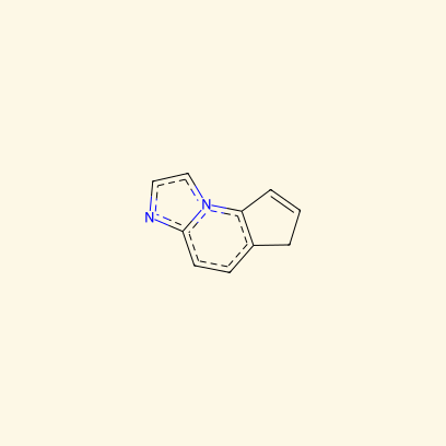 C1=Cc2c(ccc3nccn23)C1